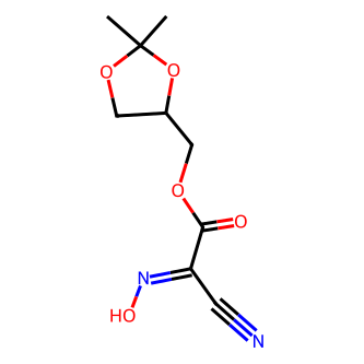 CC1(C)OCC(COC(=O)C(C#N)=NO)O1